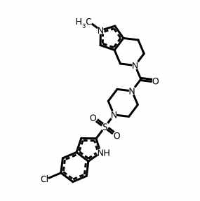 Cn1cc2c(c1)CN(C(=O)N1CCN(S(=O)(=O)c3cc4cc(Cl)ccc4[nH]3)CC1)CC2